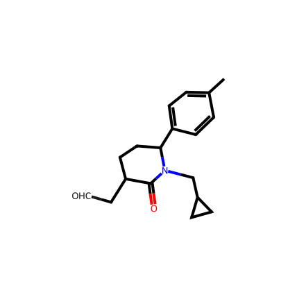 Cc1ccc(C2CCC(CC=O)C(=O)N2CC2CC2)cc1